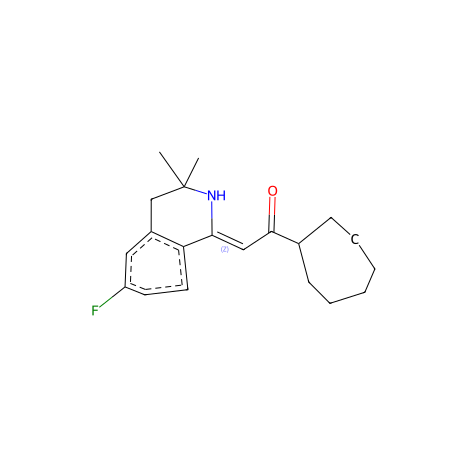 CC1(C)Cc2cc(F)ccc2/C(=C/C(=O)C2CCCCCC2)N1